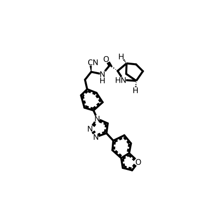 N#C[C@H](Cc1ccc(-n2cc(-c3ccc4occc4c3)nn2)cc1)NC(=O)[C@H]1N[C@@H]2CC[C@H]1C2